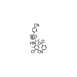 Cc1c(NC(c2nnc(-c3ccc(C#N)cc3)o2)C(C)OC(=O)c2ccccc2)ccc(C#N)c1Cl